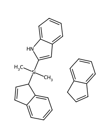 C1=Cc2ccccc2C1.C[Si](C)(c1cc2ccccc2[nH]1)C1C=Cc2ccccc21